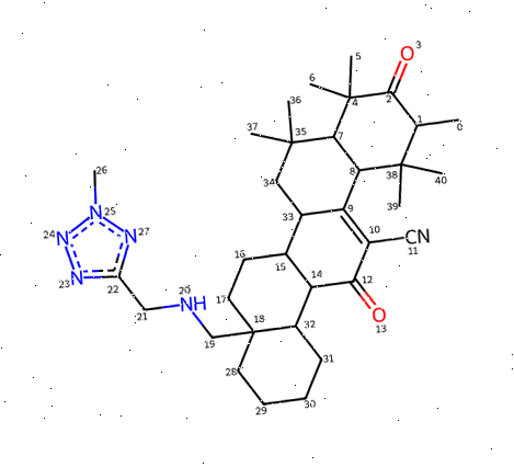 CC1C(=O)C(C)(C)C2C(C3=C(C#N)C(=O)C4C(CCC5(CNCc6nnn(C)n6)CCCCC45)C3CC2(C)C)C1(C)C